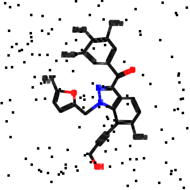 COc1cc(C(=O)c2nn(Cc3ccc([N+](=O)[O-])o3)c3c(C#CCO)c(OC)ccc23)cc(OC)c1OC